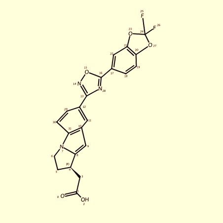 O=C(O)C[C@H]1CCn2c1cc1cc(-c3noc(-c4ccc5c(c4)OC(F)(F)O5)n3)ccc12